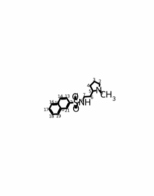 CN1CCCC1CCNS(=O)(=O)c1ccc2ccccc2c1